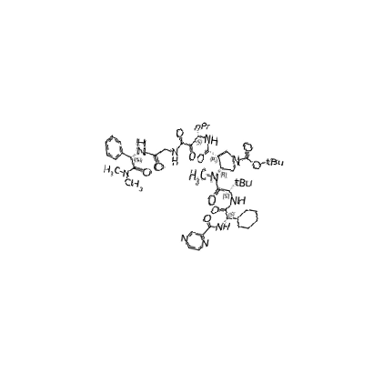 CCC[C@H](NC(=O)[C@@H]1CN(C(=O)OC(C)(C)C)C[C@@H]1N(C)C(=O)[C@@H](NC(=O)[C@@H](NC(=O)c1cnccn1)C1CCCCC1)C(C)(C)C)C(=O)C(=O)NCC(=O)N[C@H](C(=O)N(C)C)c1ccccc1